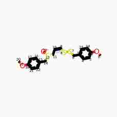 COc1ccc(CSS/C=C\C[S+]([O-])Cc2ccc(OC)cc2)cc1